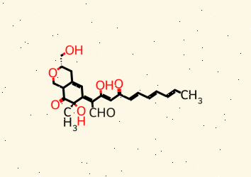 C/C=C/C=C/C=C/C(=O)/C=C(O)/C(C=O)=C1\C=C2C[C@@H](CO)OCC2C(=O)[C@@]1(C)O